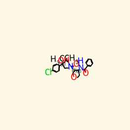 CC1(C)CN(C(=O)[C@H]2COCC[C@H]2NC(=O)c2ccccc2)CC[C@]1(O)c1ccc(Cl)cc1